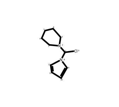 Cl[C](N1CCCCC1)n1cccc1